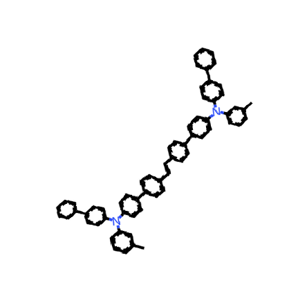 Cc1cccc(N(c2ccc(-c3ccccc3)cc2)c2ccc(-c3ccc(/C=C/c4ccc(-c5ccc(N(c6ccc(-c7ccccc7)cc6)c6cccc(C)c6)cc5)cc4)cc3)cc2)c1